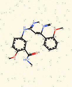 C=N/C(=C\C(=N/C)Nc1ccc(OC)c(C(=O)NC)c1)c1ccccc1OC